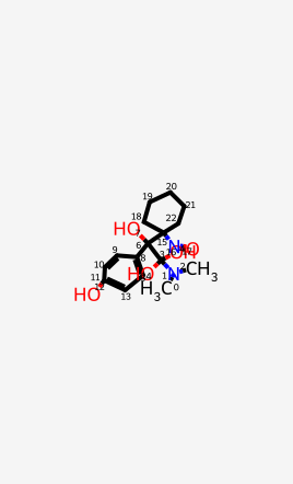 CN(C)C(O)(O)C(O)(c1ccc(O)cc1)C1(N=O)CCCCC1